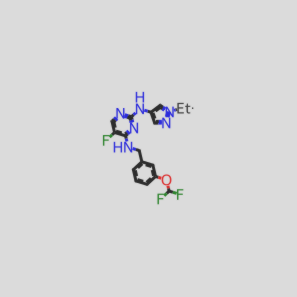 [CH2][CH]n1cc(Nc2ncc(F)c(NCc3cccc(OC(F)F)c3)n2)cn1